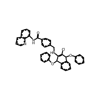 O=C(Nc1cccc2cccnc12)c1ccc(CNC2=C(Cl)C(Oc3ccccc3)c3ccccc3C2Oc2ccccc2)cc1